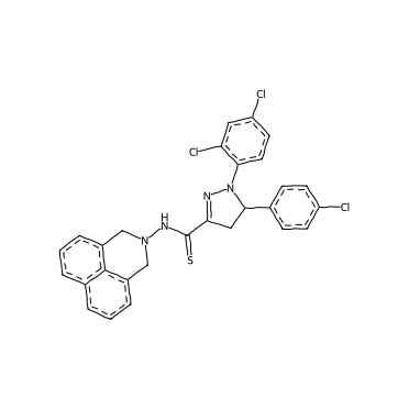 S=C(NN1Cc2cccc3cccc(c23)C1)C1=NN(c2ccc(Cl)cc2Cl)C(c2ccc(Cl)cc2)C1